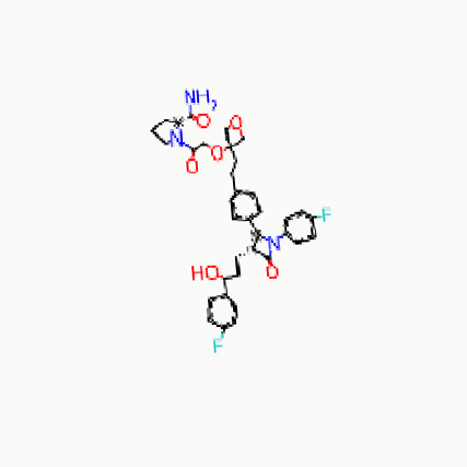 NC(=O)[C@H]1CCCN1C(=O)COC1(CCc2ccc([C@@H]3[C@@H](CCC(O)c4ccc(F)cc4)C(=O)N3c3ccc(F)cc3)cc2)COC1